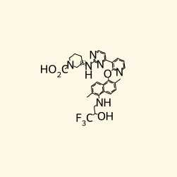 Cc1ccc2c(Oc3ncccc3-c3ccnc(N[C@H]4CCCN(C(=O)O)C4)n3)c(C)ccc2c1NCC(O)C(F)(F)F